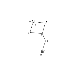 BrCC1CNC1